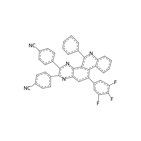 N#Cc1ccc(-c2nc3cc(-c4cc(F)c(F)c(F)c4)c4c5ccccc5nc(-c5ccccc5)c4c3nc2-c2ccc(C#N)cc2)cc1